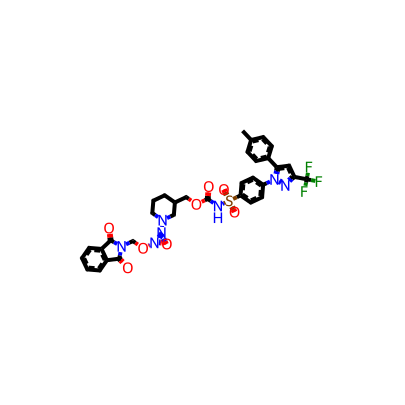 Cc1ccc(-c2cc(C(F)(F)F)nn2-c2ccc(S(=O)(=O)NC(=O)OCC3CCCN(n4on4OCN4C(=O)c5ccccc5C4=O)C3)cc2)cc1